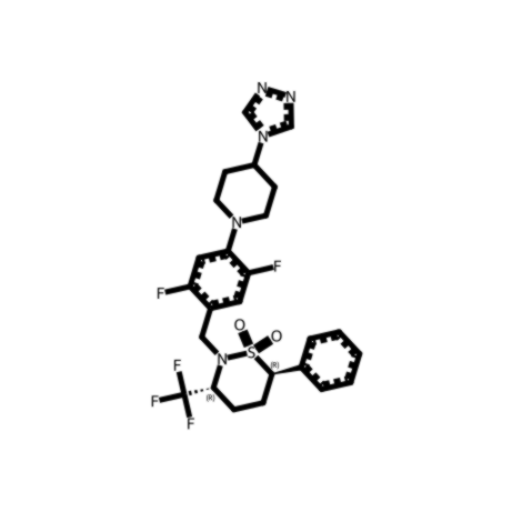 O=S1(=O)[C@@H](c2ccccc2)CC[C@H](C(F)(F)F)N1Cc1cc(F)c(N2CCC(n3cnnc3)CC2)cc1F